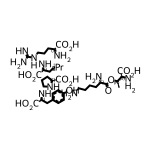 CC(C)C[C@H](N)C(=O)O.C[C@@H](OC(=O)[C@@H](N)CCCCN)[C@H](N)C(=O)O.N=C(N)NCCC[C@H](N)C(=O)O.N[C@@H](Cc1ccc(O)cc1)C(=O)O.O=C(O)[C@@H]1CCCN1